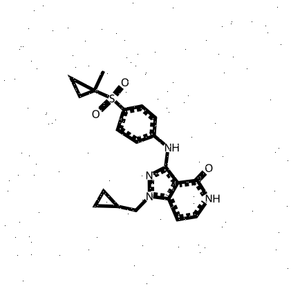 CC1(S(=O)(=O)c2ccc(Nc3nn(CC4CC4)c4cc[nH]c(=O)c34)cc2)CC1